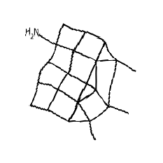 CC12C3(C)C4(C)C56C7CC8(N)C9C%10CC%11C%10%12C9%10C78C45C3%10C%121C%1126